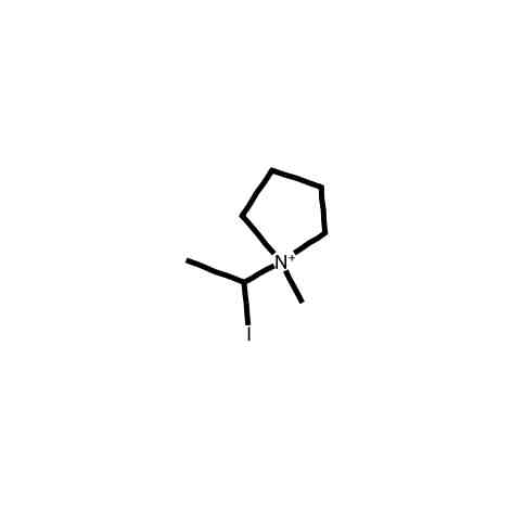 CC(I)[N+]1(C)CCCC1